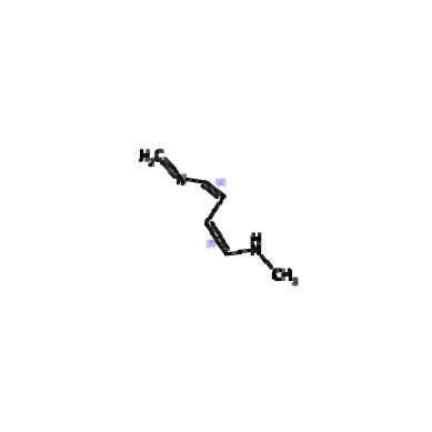 C=N/C=C\C=C/NC